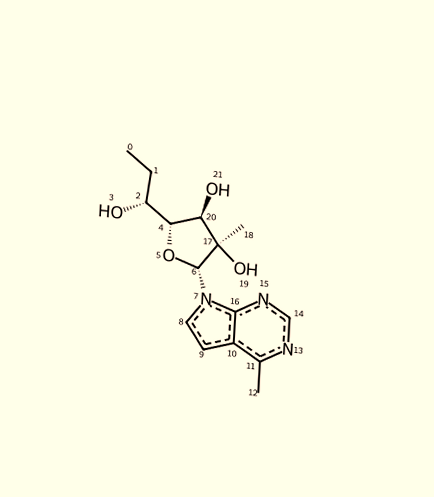 CC[C@@H](O)[C@H]1O[C@@H](n2ccc3c(C)ncnc32)[C@](C)(O)[C@@H]1O